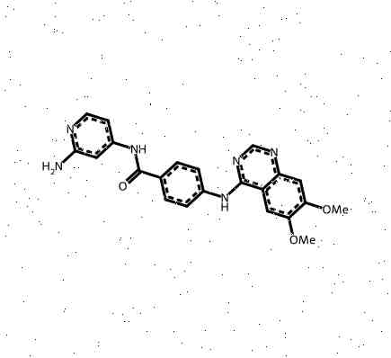 COc1cc2ncnc(Nc3ccc(C(=O)Nc4ccnc(N)c4)cc3)c2cc1OC